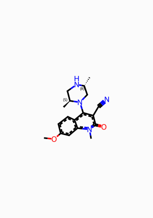 COc1ccc2c(N3C[C@@H](C)NC[C@@H]3C)c(C#N)c(=O)n(C)c2c1